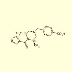 C[C@@H]1CN(Cc2ccc(C(=O)O)cc2)C[C@@H](C)N1C(=O)c1ccco1